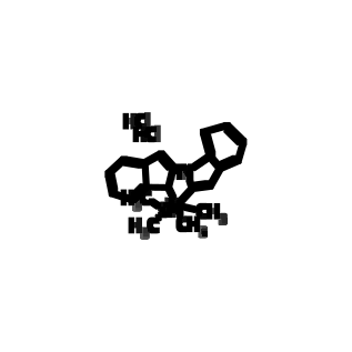 C[SiH](C)[Ti]([CH3])([CH3])([c]1cc2ccccc2[nH]1)[CH]1C=Cc2ccccc21.Cl.Cl